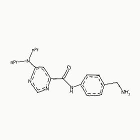 CCCN(CCC)c1cc(C(=O)Nc2ccc(CN)cc2)ncn1